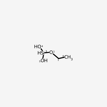 CCO[SiH](O)O